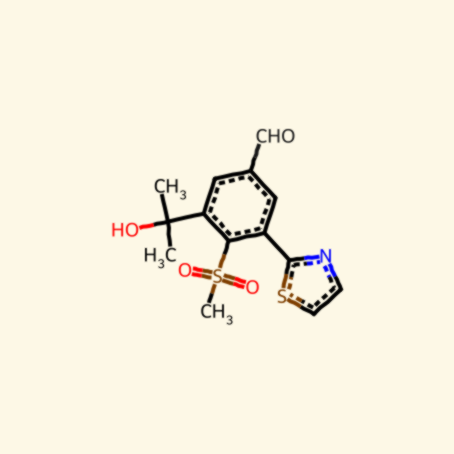 CC(C)(O)c1cc(C=O)cc(-c2nccs2)c1S(C)(=O)=O